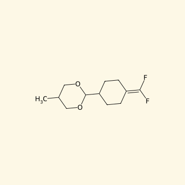 CC1COC(C2CCC(=C(F)F)CC2)OC1